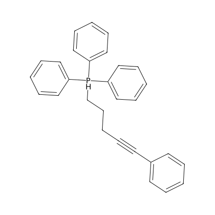 C(#Cc1ccccc1)CCC[PH](c1ccccc1)(c1ccccc1)c1ccccc1